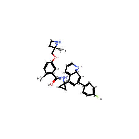 Cc1ccc(OC[C@]2([SiH3])CCN2)cc1C(=O)NC1(c2cc(-c3ccc(F)cc3)cc3ncccc23)CC1